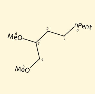 CCCCCCCC(COC)OC